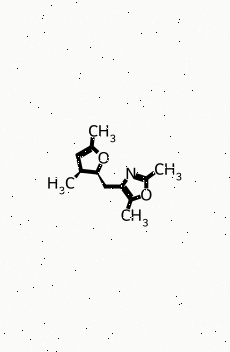 CC1=C[C@H](C)[C@H](Cc2nc(C)oc2C)O1